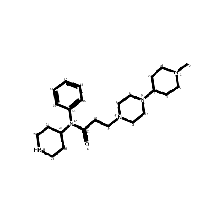 CN1CCC(N2CCN(CCC(=O)N(c3ccccc3)C3CCNCC3)CC2)CC1